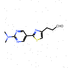 CN(C)c1ncc(-c2nc(CCC=O)cs2)cn1